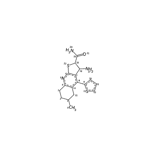 CC1CCc2nc3c(c(-c4cccs4)c2C1)C(N)C(C(N)=O)S3